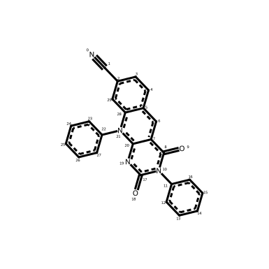 N#Cc1ccc2cc3c(=O)n(-c4ccccc4)c(=O)nc-3n(-c3ccccc3)c2c1